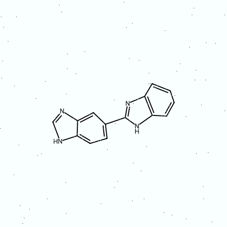 [c]1cccc2[nH]c(-c3ccc4[nH]cnc4c3)nc12